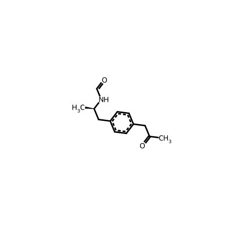 CC(=O)Cc1ccc(C[C@@H](C)NC=O)cc1